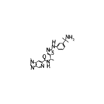 CC(NC(=O)c1cc2c(cn1)ncn2C)c1cnc(Nc2cccc(C(C)(C)N)c2)s1